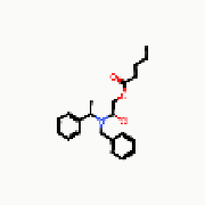 CCCCC(=O)OC[C@@H](O)N(Cc1ccccc1)[C@H](C)c1ccccc1